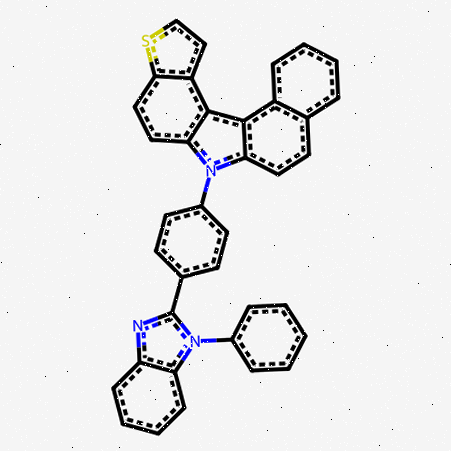 c1ccc(-n2c(-c3ccc(-n4c5ccc6ccccc6c5c5c6ccsc6ccc54)cc3)nc3ccccc32)cc1